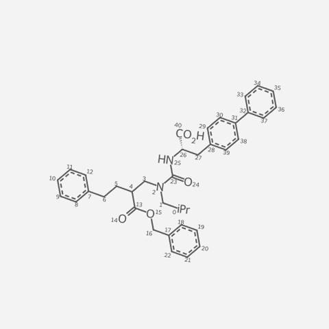 CC(C)CN(CC(CCc1ccccc1)C(=O)OCc1ccccc1)C(=O)N[C@@H](Cc1ccc(-c2ccccc2)cc1)C(=O)O